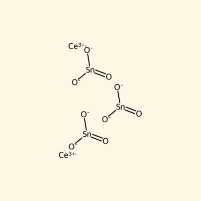 [Ce+3].[Ce+3].[O]=[Sn]([O-])[O-].[O]=[Sn]([O-])[O-].[O]=[Sn]([O-])[O-]